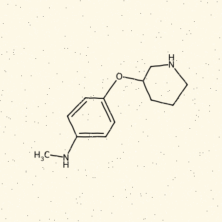 CNc1ccc(OC2CCCNC2)cc1